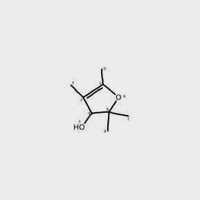 CC1=C(C)C(O)C(C)(C)O1